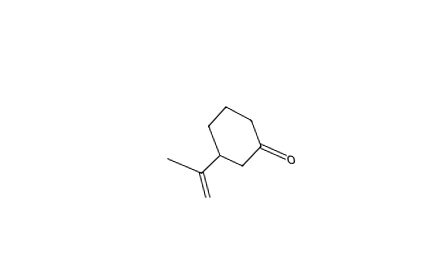 C=C(C)C1CCCC(=O)C1